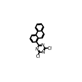 Clc1nc(Cl)nc(-c2cccc3c2ccc2ccccc23)n1